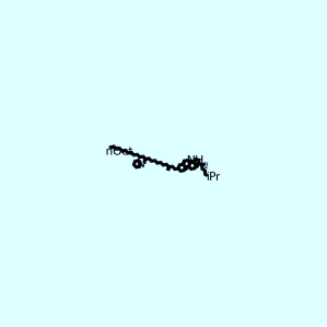 C=C(CCCCCCCC(CCCCCCCCCC/C=C\CCCCCCCC)CN1CCCCC1)CCC1CCC2(C)C(=CCC3(N)C2CCC2(C)C(C(C)CCCC(C)C)CCC23)C1